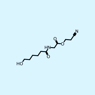 N#CCCOC(=O)CNC(=O)CCCCCO